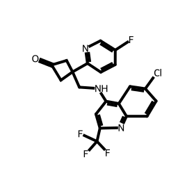 O=C1CC(CNc2cc(C(F)(F)F)nc3ccc(Cl)cc23)(c2ccc(F)cn2)C1